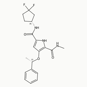 CNC(=O)c1[nH]c(C(=O)N[C@@H]2CCC(F)(F)C2)cc1O[C@@H](C)c1ccccc1